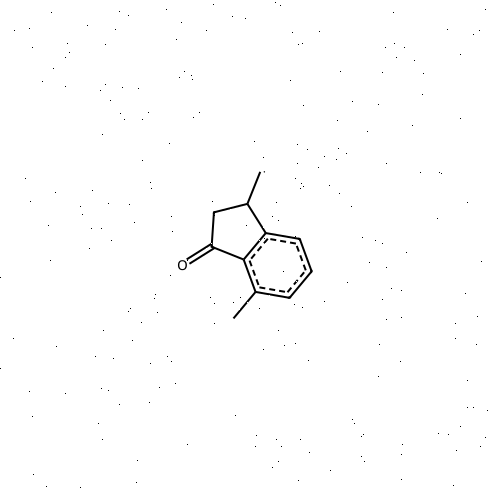 [CH2]C1CC(=O)c2c(C)cccc21